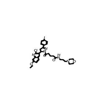 CCOc1ccc2cc(C3CC(c4ccc(I)cc4)=NN3C(=O)CCCC(=O)NCCCN3CCOCC3)c(Cl)nc2c1